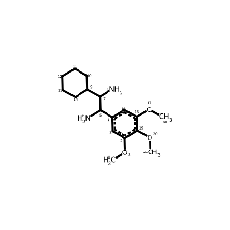 COc1cc(C(N)C(N)C2CCCCC2)cc(OC)c1OC